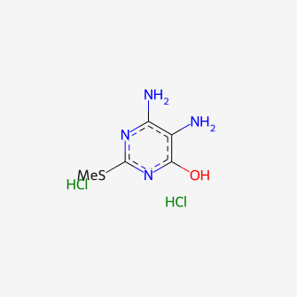 CSc1nc(N)c(N)c(O)n1.Cl.Cl